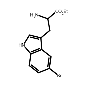 CCOC(=O)C(N)Cc1c[nH]c2ccc(Br)cc12